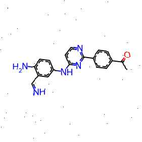 CC(=O)c1ccc(-c2nccc(Nc3ccc(N)c(C=N)c3)n2)cc1